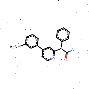 CC(=O)Nc1cccc(-c2ccnc(C(C(N)=O)c3ccccc3)c2)c1